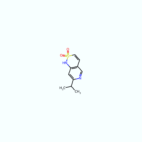 CC(C)c1cc2c(cn1)C=CS(=O)(=O)N2